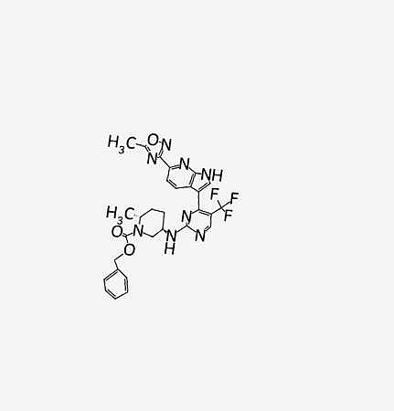 Cc1nc(-c2ccc3c(-c4nc(N[C@@H]5CC[C@@H](C)N(C(=O)OCc6ccccc6)C5)ncc4C(F)(F)F)c[nH]c3n2)no1